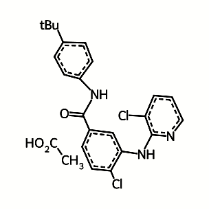 CC(=O)O.CC(C)(C)c1ccc(NC(=O)c2ccc(Cl)c(Nc3ncccc3Cl)c2)cc1